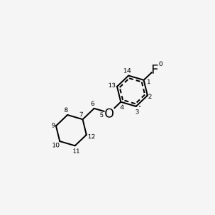 Fc1c[c]c(OCC2CCCCC2)cc1